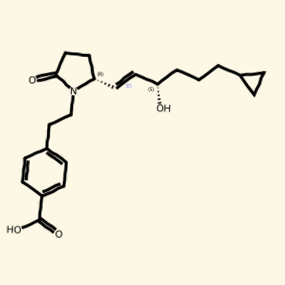 O=C(O)c1ccc(CCN2C(=O)CC[C@@H]2/C=C/[C@@H](O)CCCC2CC2)cc1